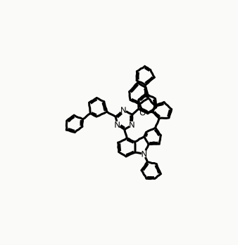 c1ccc(-c2cccc(-c3nc(-c4cccc(-c5ccccc5)c4)nc(-c4cccc5c4c4cc(-c6cccc7c6oc6ccccc67)ccc4n5-c4ccccc4)n3)c2)cc1